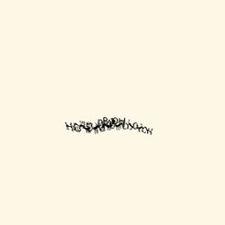 CCCCO.OCCOCCOCCOCCOCCOCCO